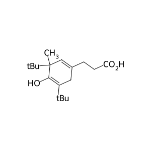 CC(C)(C)C1=C(O)C(C)(C(C)(C)C)C=C(CCC(=O)O)C1